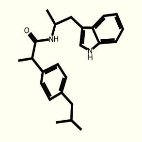 CC(C)Cc1ccc(C(C)C(=O)NC(C)Cc2c[nH]c3ccccc23)cc1